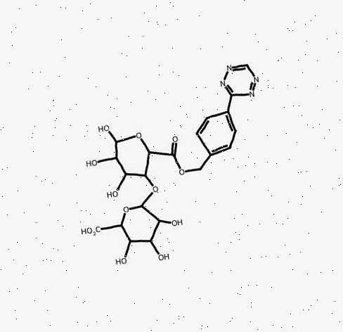 O=C(O)C1OC(OC2C(C(=O)OCc3ccc(-c4nncnn4)cc3)OC(O)C(O)C2O)C(O)C(O)C1O